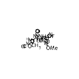 COCCN1C[C@@H](NC(=O)Nc2c(C)c(-c3cnc(C(=O)N[C@@H]4CCOC4)c(C)c3)nn2-c2ccccc2)[C@H](c2ccnc(F)c2)O1